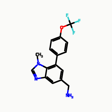 Cn1cnc2cc(CN)cc(-c3ccc(OC(F)(F)F)cc3)c21